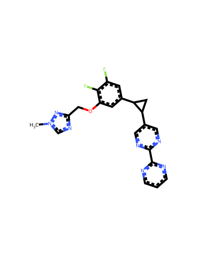 Cn1cnc(COc2cc(C3CC3c3cnc(-c4ncccn4)nc3)cc(F)c2F)n1